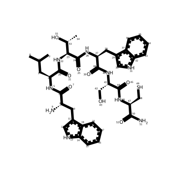 CC(C)C[C@H](NC(=O)[C@@H](N)Cc1c[nH]c2ccccc12)C(=O)N[C@H](C(=O)N[C@@H](Cc1c[nH]c2ccccc12)C(=O)N[C@@H](CO)C(=O)N[C@@H](CS)C(N)=O)[C@@H](C)O